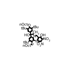 CCCCCCCCOc1c(C(C)(C)C)cc(C(O)(c2cc(C(C)(C)C)c(OCCCCCCCC)c(C(C)(C)C)c2)C(C)N=Cc2cc([N+](=O)[O-])cc([N+](=O)[O-])c2O)cc1C(C)(C)C